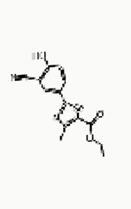 CCOC(=O)c1[se]c(-c2ccc(O)c(C#N)c2)nc1C